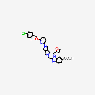 O=C(O)c1ccc2nc(CN3CC4CN(c5cccc(OCc6ccc(Cl)cc6F)n5)CC4C3)n(CC3CCO3)c2c1